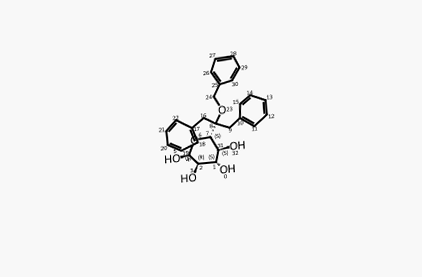 O[C@@H]1[C@@H](O)[C@@H](O)O[C@H](C(Cc2ccccc2)(Cc2ccccc2)OCc2ccccc2)[C@H]1O